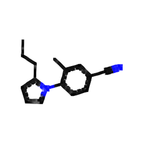 CCCc1cccn1-c1ccc(C#N)cc1C